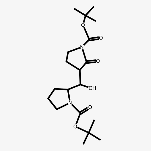 CC(C)(C)OC(=O)N1CCC(C(O)C2CCCN2C(=O)OC(C)(C)C)C1=O